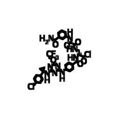 NC(=O)c1cccc(NC(=O)C(=O)NC[C@H](NC(=O)c2ccc(Nc3nc(NC4(c5ccc(Cl)cc5)CC4)nc(OCC(F)(F)F)n3)cc2)C(=O)Cl)c1